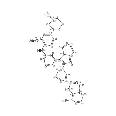 COc1cc(N2CCC[C@H](O)C2)ccc1Nc1nccc(-c2c(-c3cccc(C(=O)Nc4c(F)cccc4F)c3)nc3ccccn23)n1